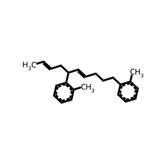 CC=CCC(C=CCCCc1ccccc1C)c1ccccc1C